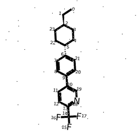 CC[C@H]1CC[C@H](c2ccc(-c3ccc(C(F)(F)F)nc3)cc2)CC1